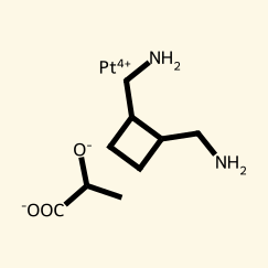 CC([O-])C(=O)[O-].NCC1CCC1CN.[Pt+4]